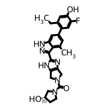 CCc1cc(O)c(F)cc1-c1cc(C)c2c(-c3nc4c([nH]3)CN(C(=O)N3CC[C@H](O)C3)C4)n[nH]c2c1